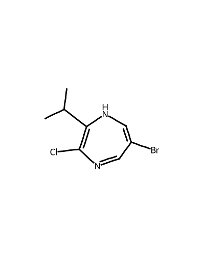 CC(C)C1=C(Cl)N=CC(Br)=CN1